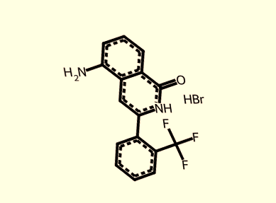 Br.Nc1cccc2c(=O)[nH]c(-c3ccccc3C(F)(F)F)cc12